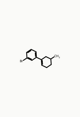 CC1CCC=C(c2cccc(Br)c2)C1